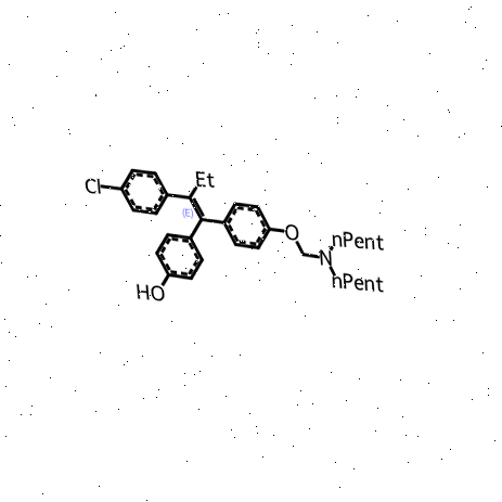 CCCCCN(CCCCC)COc1ccc(/C(=C(\CC)c2ccc(Cl)cc2)c2ccc(O)cc2)cc1